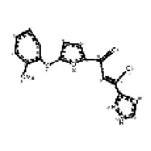 COc1ccccc1Oc1ccc(C(=O)C=C(O)c2nc[nH]n2)o1